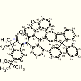 C/C=C1\C(=C2\c3ccccc3N(c3ccc4c(c3)C(c3ccccc3)(c3ccccc3)c3ccccc3-4)c3c2ccc2oc4ccccc4c32)c2ccc(C(C)(C)C)cc2C1(C)C